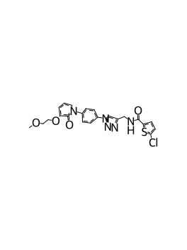 COCCOc1cccn(-c2ccc(-n3cc(CNC(=O)c4ccc(Cl)s4)nn3)cc2)c1=O